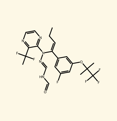 CC/C=C(/c1cc(F)cc(OC(C)(C)C(F)(F)F)c1)N(/N=C/NC=O)c1nccnc1C(C)(F)F